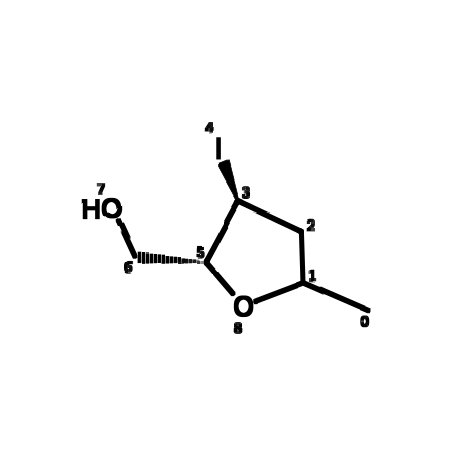 CC1C[C@H](I)[C@@H](CO)O1